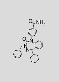 NC(=O)c1ccc(N2C(=O)N(Cc3ccccc3)N=C(C3CCCCC3)c3ccccc32)cc1